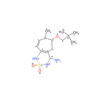 CC1C=CC2=C(CC1OCC(C)(C)C)C(N)NS(=O)(=O)N2